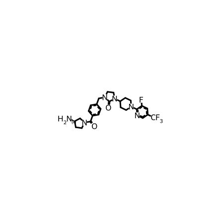 N[C@@H]1CCN(C(=O)c2ccc(CN3CCN(C4CCN(c5ncc(C(F)(F)F)cc5F)CC4)C3=O)cc2)C1